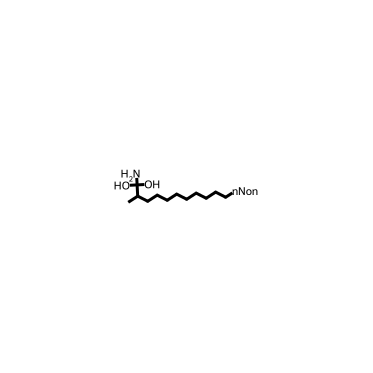 CCCCCCCCCCCCCCCCCCC(C)C(N)(O)O